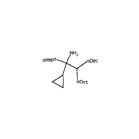 CCCCCCCCCCC(CCCCCCCC)C(N)(CCCCCCC)C1CC1